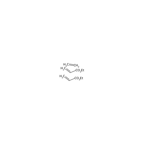 C=C.C=CC(=O)OCC.C=CC(=O)OCC